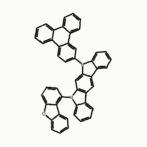 c1ccc2c(c1)oc1cccc(-n3c4ccccc4c4cc5c6ccccc6n(-c6ccc7c8ccccc8c8ccccc8c7c6)c5cc43)c12